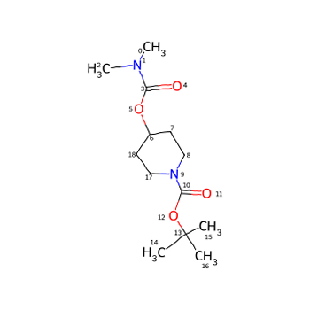 CN(C)C(=O)OC1CCN(C(=O)OC(C)(C)C)CC1